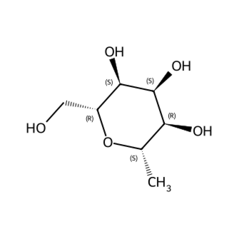 C[C@@H]1O[C@H](CO)[C@@H](O)[C@@H](O)[C@H]1O